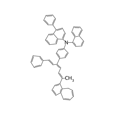 C\C(=C/C=C(\C=C\c1ccccc1)c1ccc(N(c2cccc3ccccc23)c2ccc(-c3ccccc3)c3ccccc23)cc1)c1cccc2c1CC=CC=C2